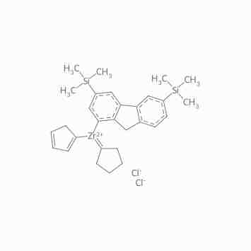 C[Si](C)(C)c1ccc2c(c1)-c1cc([Si](C)(C)C)c[c]([Zr+2]([C]3=CC=CC3)=[C]3CCCC3)c1C2.[Cl-].[Cl-]